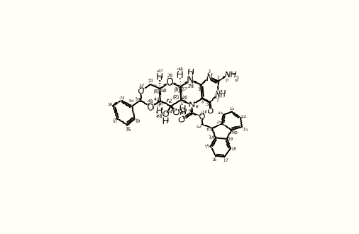 Nc1nc2c(c(=O)[nH]1)N(C(=O)OCC1c3ccccc3-c3ccccc31)[C@@H]1[C@H](N2)O[C@@H]2COC(c3ccccc3)O[C@@H]2C1(O)O